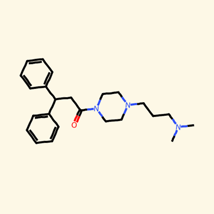 CN(C)CCCN1CCN(C(=O)CC(c2ccccc2)c2ccccc2)CC1